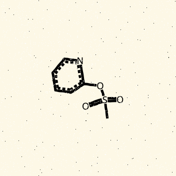 CS(=O)(=O)Oc1ccccn1